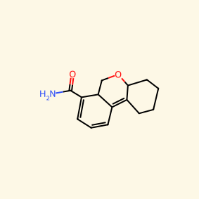 NC(=O)C1=CC=CC2=C3CCCCC3OCC12